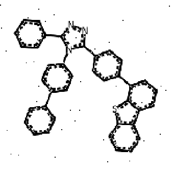 c1ccc(-c2ccc(-n3c(-c4ccccc4)nnc3-c3ccc(-c4cccc5c4sc4ccccc45)cc3)cc2)cc1